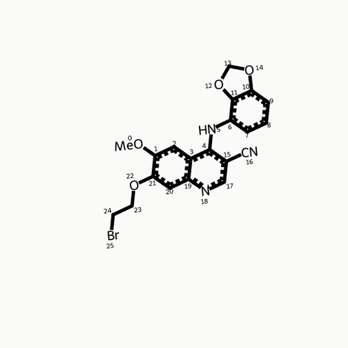 COc1cc2c(Nc3cccc4c3OCO4)c(C#N)cnc2cc1OCCBr